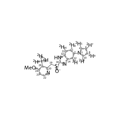 [2H]c1c(-n2c([2H])c([2H])c([2H])c2[2H])c([2H])c2nc([S+]([O-])Cc3nccc(OC)c3C([2H])([2H])[2H])[nH]c2c1[2H]